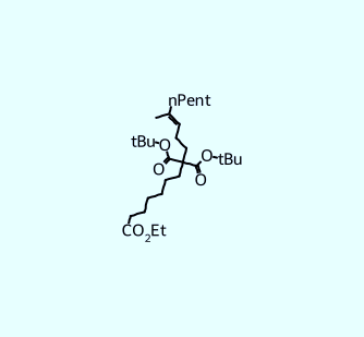 CCCCCC(C)=CCCC(CCCCCCC(=O)OCC)(C(=O)OC(C)(C)C)C(=O)OC(C)(C)C